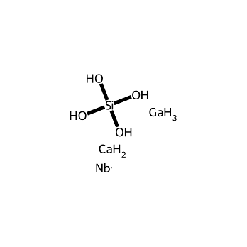 O[Si](O)(O)O.[CaH2].[GaH3].[Nb]